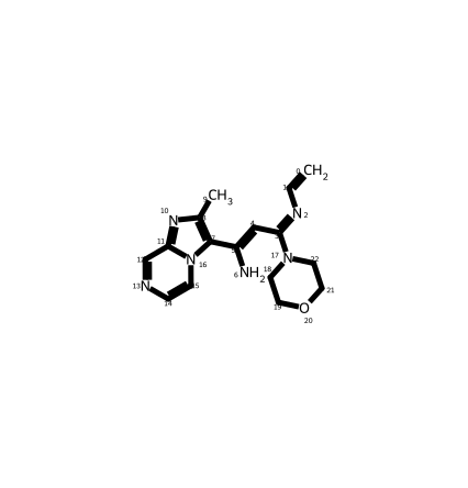 C=C/N=C(\C=C(/N)c1c(C)nc2cnccn12)N1CCOCC1